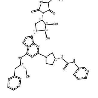 O=C(Nc1cccnc1)N[C@@H]1CCN(c2nc(N[C@H](CO)Cc3ccccc3)c3ncn([C@@H]4C[C@H](N5C(=O)NC(CO)C5=O)[C@@H](O)[C@H]4O)c3n2)C1